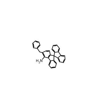 Nc1c(Cc2ccccc2)ccc2c1-c1ccccc1C21c2ccccc2-c2ccccc21